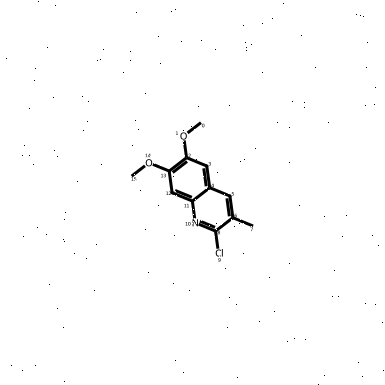 COc1cc2cc(C)c(Cl)nc2cc1OC